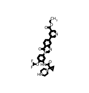 CCOC(=O)c1cncc(-c2ccc3c(=O)n(-c4ccc(OC(F)F)c(NC(=O)C5(N6CCNCC6)CC5)c4)cnc3c2)c1